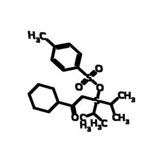 Cc1ccc(S(=O)(=O)OS(CC(=O)C2CCCCC2)(C(C)C)C(C)C)cc1